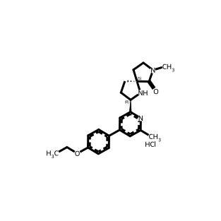 CCOc1ccc(-c2cc(C)nc([C@H]3CC[C@@]4(CCN(C)C4=O)N3)c2)cc1.Cl